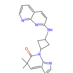 CC1(C)C=C2C=CN=C2N(C2CC(Nc3ccc4cccnc4n3)C2)C1=O